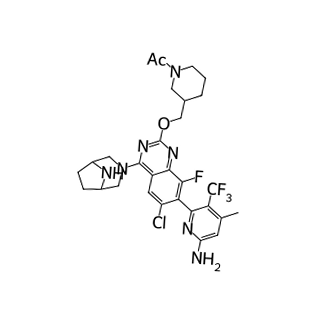 CC(=O)N1CCCC(COc2nc(N3CC4CCC(C3)N4)c3cc(Cl)c(-c4nc(N)cc(C)c4C(F)(F)F)c(F)c3n2)C1